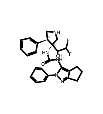 CC(C(F)F)[C@]1(NC(=O)Nc2c3c(nn2-c2ccccc2)CCC3)CNC[C@@H]1c1ccccc1